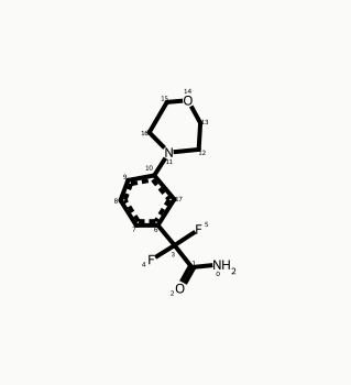 NC(=O)C(F)(F)c1cccc(N2CCOCC2)c1